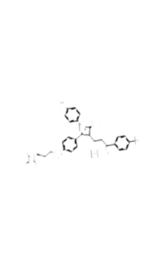 C[N+](C)(C)CCCOc1ccc(C2C(CCC(O)c3ccc(F)cc3)C(=O)N2c2ccc(F)cc2)cc1